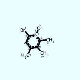 Cc1[c]c(Br)[n+]([O-])c(C)c1C